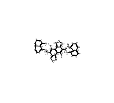 Nc1cccc2cccc(NBc3c(F)c4c5nonc5c(B5Nc6cccc7cccc(c67)N5)c(F)c4c4nonc34)c12